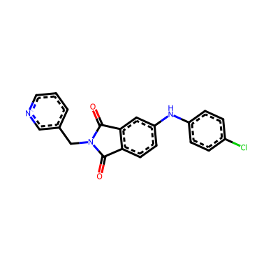 O=C1c2ccc(Nc3ccc(Cl)cc3)cc2C(=O)N1Cc1cccnc1